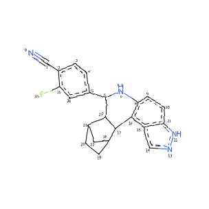 N#Cc1ccc(C2Nc3ccc4[nH]ncc4c3C3C4CCC(C4)C23)cc1F